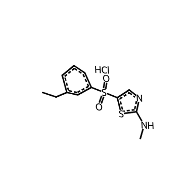 CCc1cccc(S(=O)(=O)c2cnc(NC)s2)c1.Cl